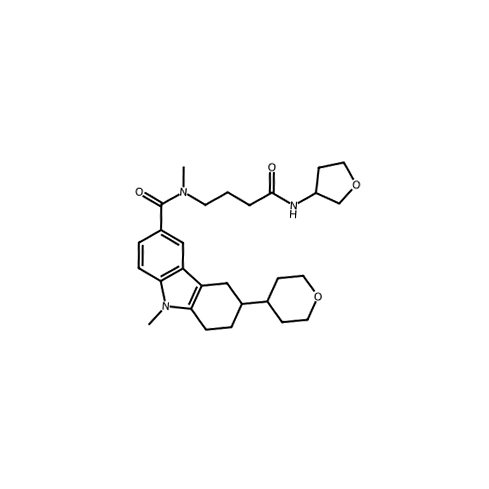 CN(CCCC(=O)NC1CCOC1)C(=O)c1ccc2c(c1)c1c(n2C)CCC(C2CCOCC2)C1